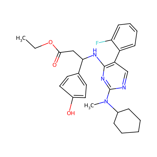 CCOC(=O)CC(Nc1nc(N(C)C2CCCCC2)ncc1-c1ccccc1F)c1ccc(O)cc1